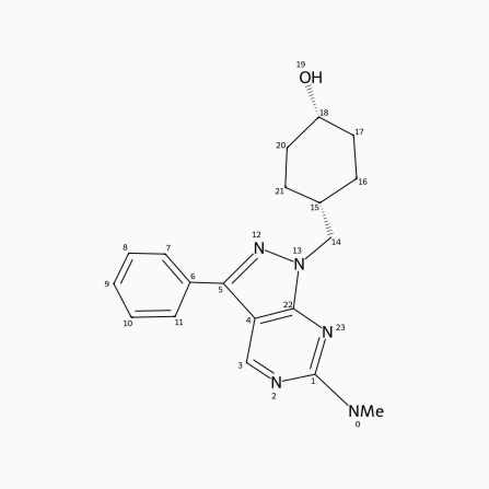 CNc1ncc2c(-c3ccccc3)nn(C[C@H]3CC[C@@H](O)CC3)c2n1